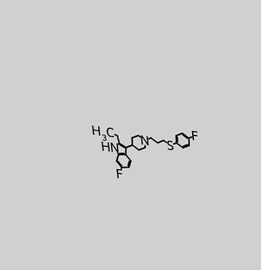 CCc1[nH]c2cc(F)ccc2c1C1CCN(CCCSc2ccc(F)cc2)CC1